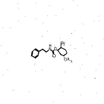 CC(C)[C@H]1CC[C@H](C)C[C@H]1OC(=O)NCCc1ccccc1